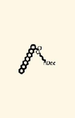 CCCCCCCCCCCCCCCOC(=O)C1CCCC2CC3CC4CC5CC6CC7CCCCC7CC6CC5CC4CC3CC21